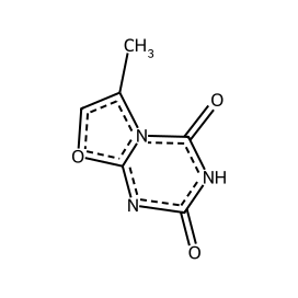 Cc1coc2nc(=O)[nH]c(=O)n12